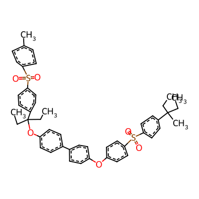 CCC(C)(CC)c1ccc(S(=O)(=O)c2ccc(Oc3ccc(-c4ccc(OC(CC)(CC)c5ccc(S(=O)(=O)c6ccc(C)cc6)cc5)cc4)cc3)cc2)cc1